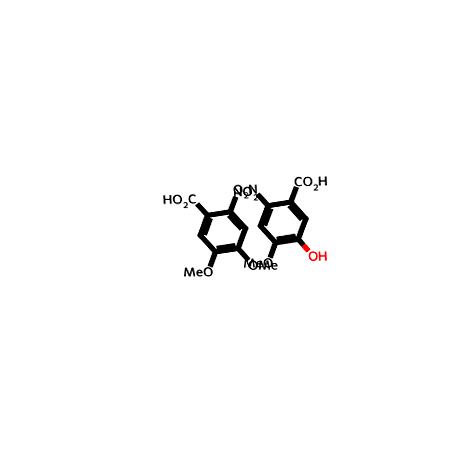 COc1cc(C(=O)O)c([N+](=O)[O-])cc1OC.COc1cc([N+](=O)[O-])c(C(=O)O)cc1O